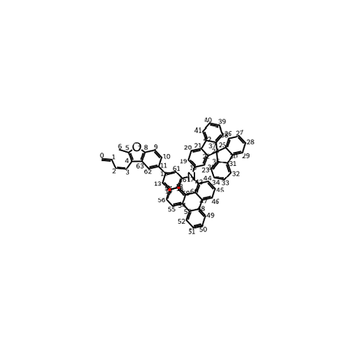 C=C/C=C\c1c(C)oc2ccc(-c3cccc(N(c4ccc5c(c4)C4(c6ccccc6-c6ccccc64)c4ccccc4-5)c4cccc5c6ccccc6c6ccccc6c45)c3)cc12